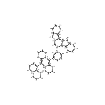 c1cc(-c2c3ccccc3c(-c3cccc4ccccc34)c3ccccc23)cc(-c2cc3oc4ccccc4c3c3oc4ccccc4c23)c1